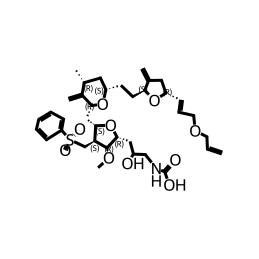 C=CCOCC=C[C@H]1CC(=C)[C@H](CC[C@H]2C[C@@H](C)C(=C)[C@@H](C[C@@H]3O[C@H](CC(O)CNC(=O)O)[C@H](OC)[C@H]3CS(=O)(=O)c3ccccc3)O2)O1